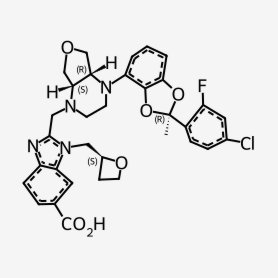 C[C@@]1(c2ccc(Cl)cc2F)Oc2cccc(N3CCN(Cc4nc5ccc(C(=O)O)cc5n4C[C@@H]4CCO4)[C@@H]4COC[C@@H]43)c2O1